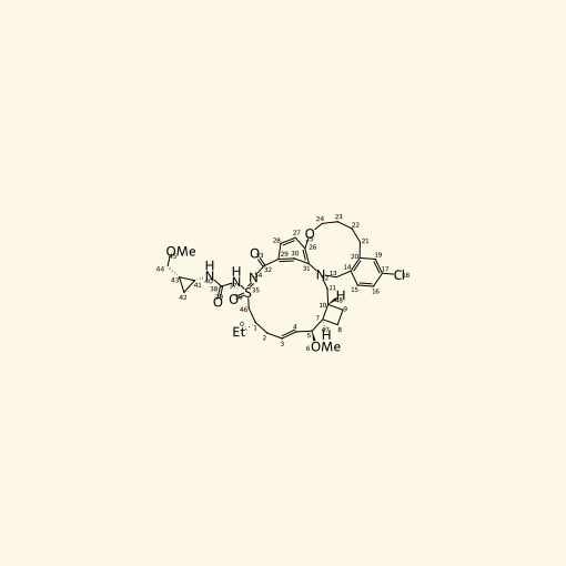 CC[C@H]1C/C=C/[C@H](OC)[C@@H]2CC[C@H]2CN2Cc3ccc(Cl)cc3CCCCOc3ccc(cc32)C(=O)N=S(=O)(NC(=O)N[C@@H]2C[C@@H]2COC)C1